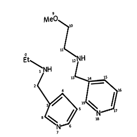 CCNCc1cccnc1.COCCNCc1cccnc1